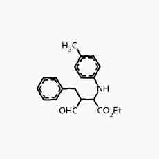 CCOC(=O)C(Nc1ccc(C)cc1)C(C=O)Cc1ccccc1